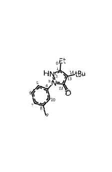 CCc1[nH]n(-c2cccc(C)c2)c(=O)c1C(C)(C)C